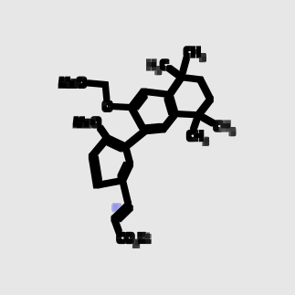 CCOC(=O)/C=C/c1ccc(OC)c(-c2cc3c(cc2OCOC)C(C)(C)CCC3(C)C)c1